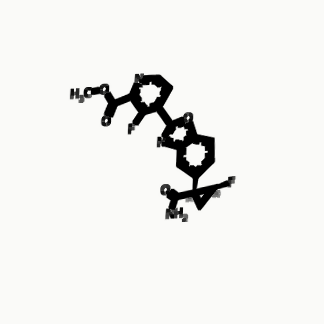 COC(=O)c1nccc(-c2nc3cc([C@]4(C(N)=O)C[C@@H]4F)ccc3o2)c1F